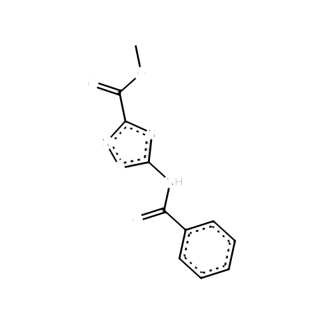 COC(=O)c1nsc(NC(=O)c2ccccc2)n1